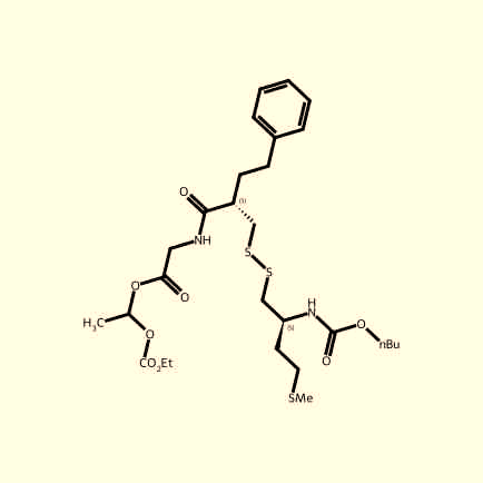 CCCCOC(=O)N[C@@H](CCSC)CSSC[C@@H](CCc1ccccc1)C(=O)NCC(=O)OC(C)OC(=O)OCC